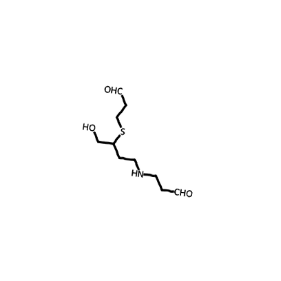 O=CCCNCCC(CO)SCCC=O